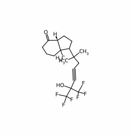 CC(C)(CC#CC(O)(C(F)(F)F)C(F)(F)F)C1CC[C@H]2C(=O)CCCC12C